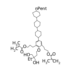 C=C(C)C(=O)OCCCc1cc(C2CCC(C3CCC(C4CCC(CCCCC)CC4)CC3)CC2)cc(CCCOC(=O)C(=C)C)c1OCCC(CC)(CO)CO